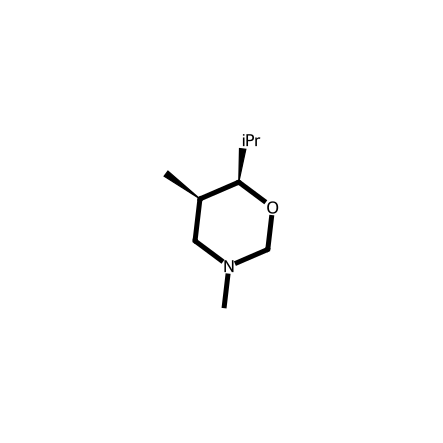 CC(C)[C@H]1OCN(C)C[C@H]1C